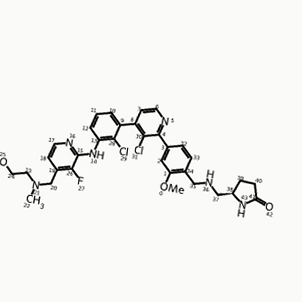 COc1cc(-c2nccc(-c3cccc(Nc4nccc(CN(C)CCO)c4F)c3Cl)c2Cl)ccc1CNC[C@H]1CCC(=O)N1